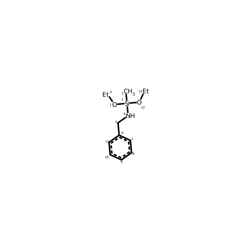 CCO[Si](C)(NCc1ccccc1)OCC